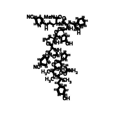 CNC(=O)[C@H](CCNc1ccc(C#N)cn1)NC(=O)[C@H](Cc1c[nH]c2ccccc12)NC(=O)[C@@H]1C[C@@H](O)CN1C(=O)[C@H](CC(C)C)NC(=O)[C@H](CNc1ccc(C#N)cn1)NC(=O)[C@@H]1CCCN1C(=O)[C@H](CC(N)=O)NC(=O)[C@H](C)N(C)C(=O)[C@@H](C)Cc1ccc(O)cc1